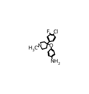 CN1CCC(Oc2ccc(N)cc2)(c2ccc(Cl)c(F)c2)CC1